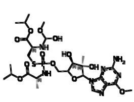 COc1nc(N)nc2c1ncn2C1OC(COP(=O)(N[C@H](C)C(=O)OC(C)C)SC[C@H](NC(O)OC)C(=O)OC(C)C)[C@@H](O)[C@@]1(C)O